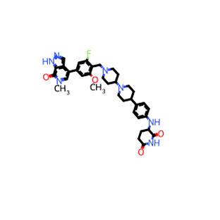 COc1cc(-c2cn(C)c(=O)c3[nH]ncc23)cc(F)c1CN1CCC(N2CCC(c3ccc(NC4CCC(=O)NC4=O)cc3)CC2)CC1